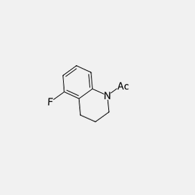 CC(=O)N1CCCc2c(F)cccc21